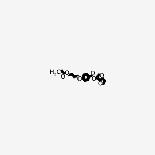 C=CC(=O)OCCCCOc1ccc(C(=O)OC2COC3CCOC32)cc1